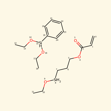 C=CC(=O)OCCC[SiH2]OCC.CCO[SiH](OCC)c1ccccc1